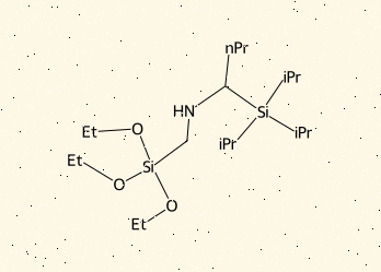 CCCC(NC[Si](OCC)(OCC)OCC)[Si](C(C)C)(C(C)C)C(C)C